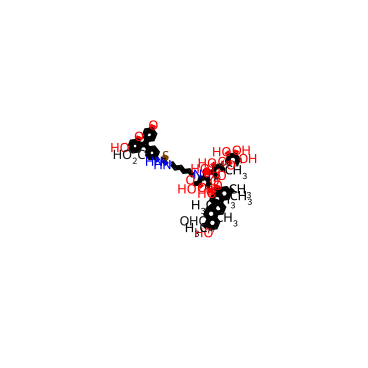 CC1O[C@@H](OC2C(O)[C@@H](NC(=O)CCCCCNC(=S)Nc3ccc(-c4c5ccc(=O)cc-5oc5cc(O)ccc45)c(C(=O)O)c3)C(CO)O[C@H]2OC(=O)[C@]23CCC(C)(C)CC2C2=CCC4C5(C)CC[C@H](O)C(C)(C=O)C5CCC4(C)C2(C)CC3O)C(CO)C(O)[C@H]1O[C@@H]1OC[C@@H](O)C(O)C1O